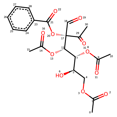 CC(=O)OC[C@@H](O)[C@@H](OC(C)=O)[C@H](OC(C)=O)[C@](C=O)(OC(=O)c1ccccc1)C(C)=O